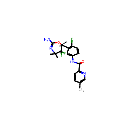 CC1(C)N=C(N)O[C@](C)(c2cc(NC(=O)c3ccc(C(F)(F)F)cn3)ccc2F)C1(F)F